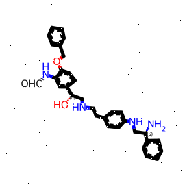 N[C@H](CNc1ccc(CCNC[C@H](O)c2ccc(OCc3ccccc3)c(NC=O)c2)cc1)c1ccccc1